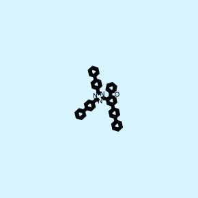 c1ccc(-c2ccc(-c3cc(-c4nc(-c5ccc(-c6ccccc6)cc5)nc(-c5ccc(-c6ccccc6)cc5)n4)c4c(c3)oc3ccccc34)cc2)cc1